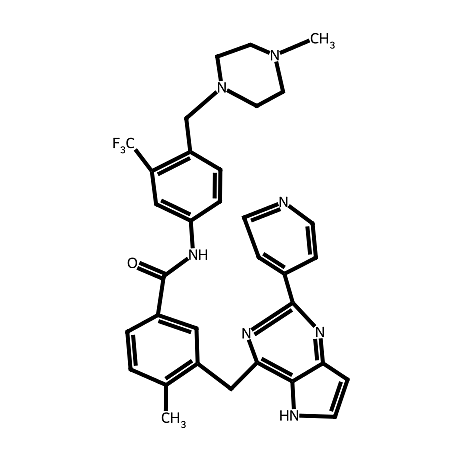 Cc1ccc(C(=O)Nc2ccc(CN3CCN(C)CC3)c(C(F)(F)F)c2)cc1Cc1nc(-c2ccncc2)nc2cc[nH]c12